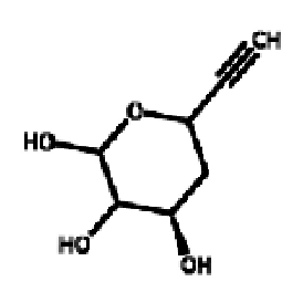 C#CC1C[C@@H](O)C(O)C(O)O1